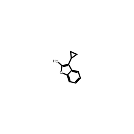 Oc1oc2ccccc2c1C1CC1